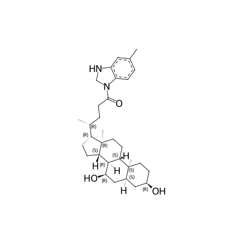 Cc1ccc2c(c1)NCN2C(=O)CC[C@@H](C)[C@H]1CC[C@H]2[C@@H]3[C@H](O)C[C@@H]4C[C@H](O)CC[C@]4(C)[C@H]3CC[C@]12C